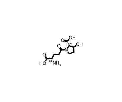 N[C@@H](CCC(=O)N1CCC(O)[C@H]1C(=O)O)C(=O)O